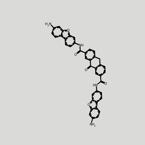 Nc1ccc2c(c1)oc1cc(NC(=O)c3ccc4c(c3)C(=O)c3cc(C(=O)Nc5ccc6c(c5)oc5cc(N)ccc56)ccc3C4)ccc12